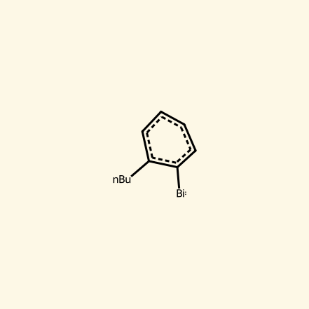 CCCCc1cccc[c]1[Bi]